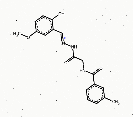 COc1ccc(O)c(/C=N/NC(=O)CNC(=O)c2cccc(C)c2)c1